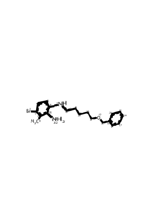 Cc1c(Br)ccc(NCCCCCOCc2ccccc2)c1N